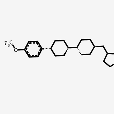 FC(F)(F)Oc1ccc([C@H]2CC[C@H]([C@H]3CC[C@H](CC4CCCC4)CC3)CC2)cc1